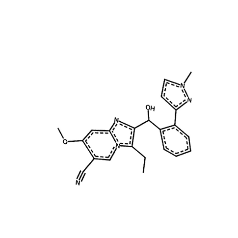 CCc1c(C(O)c2ccccc2-c2ccn(C)n2)nc2cc(OC)c(C#N)cn12